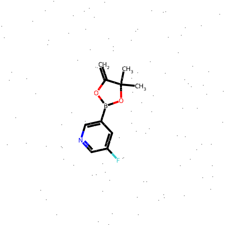 C=C1OB(c2cncc(F)c2)OC1(C)C